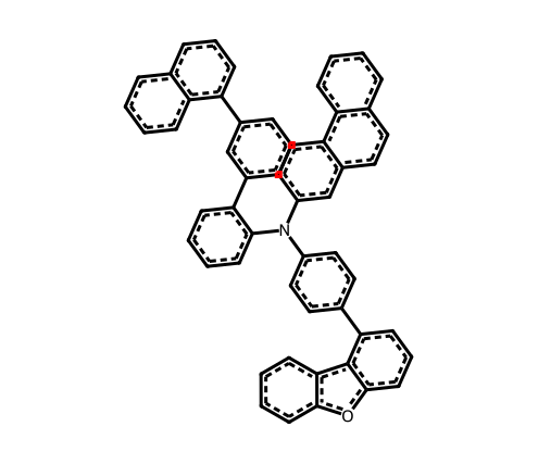 c1cc(-c2ccccc2N(c2ccc(-c3cccc4oc5ccccc5c34)cc2)c2ccc3c(ccc4ccccc43)c2)cc(-c2cccc3ccccc23)c1